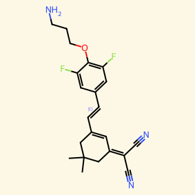 CC1(C)CC(/C=C/c2cc(F)c(OCCCN)c(F)c2)=CC(=C(C#N)C#N)C1